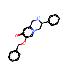 O=c1cc2n(cc1OCc1ccccc1)CC(c1ccccc1)NC2